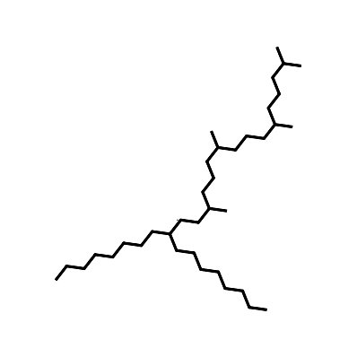 CCCCCCCCC([CH]CC(C)CCCC(C)CCCC(C)CCCC(C)C)CCCCCCCC